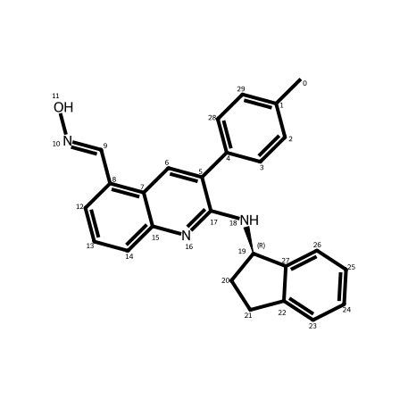 Cc1ccc(-c2cc3c(C=NO)cccc3nc2N[C@@H]2CCc3ccccc32)cc1